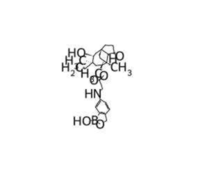 C=C[C@]1(C)C[C@@H](OC(=O)CNc2ccc3c(c2)B(O)OC3)[C@]2(C)[C@H](C)CC[C@]3(CCC(=O)[C@H]32)C[C@@H]1O